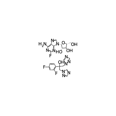 Nc1nc(F)nc2c1ncn2[C@@H]1O[C@H](CO)[C@@H](O)[C@@H]1O.OC(Cn1cncn1)(Cn1cncn1)c1ccc(F)cc1F